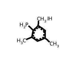 Cc1cc(C)c(P)c(C)c1.I